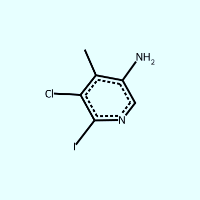 Cc1c(N)cnc(I)c1Cl